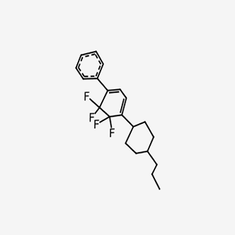 CCCC1CCC(C2=CC=C(c3ccccc3)C(F)(F)C2(F)F)CC1